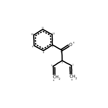 C=CC(C=C)C(=O)c1ccccc1